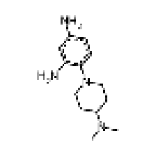 CN(C)C1CCN(c2ccc(N)cc2N)CC1